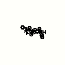 C[C@@H](C1CC1)N(Cc1ccccc1)C(=O)CN1CC2(CCC3C(=O)C(NC4CCOCC4)=CC=C32)OC1=O